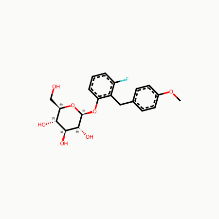 COc1ccc(Cc2c(F)cccc2O[C@@H]2O[C@H](CO)[C@@H](O)[C@H](O)[C@H]2O)cc1